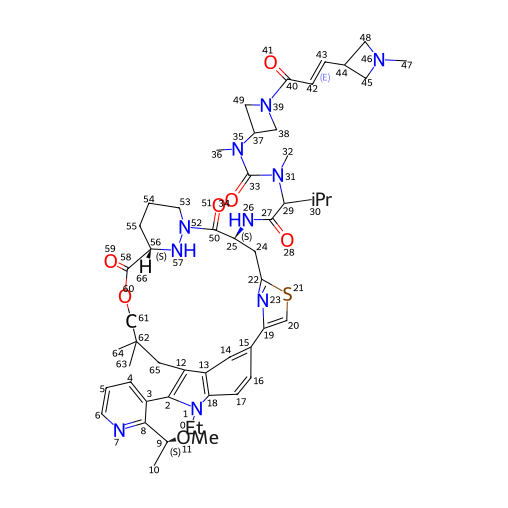 CCn1c(-c2cccnc2[C@H](C)OC)c2c3cc(ccc31)-c1csc(n1)C[C@H](NC(=O)C(C(C)C)N(C)C(=O)N(C)C1CN(C(=O)/C=C/C3CN(C)C3)C1)C(=O)N1CCC[C@H](N1)C(=O)OCC(C)(C)C2